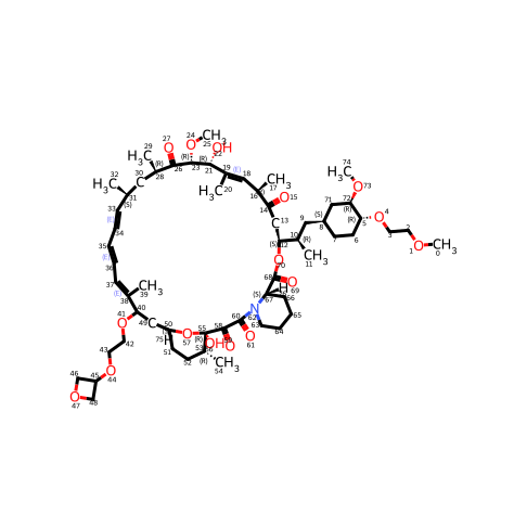 COCCO[C@@H]1CC[C@@H](C[C@@H](C)[C@@H]2CC(=O)[C@H](C)/C=C(\C)[C@@H](O)[C@@H](OC)C(=O)[C@H](C)C[C@H](C)/C=C/C=C/C=C(\C)C(OCCOC3COC3)C[C@@H]3CC[C@@H](C)[C@@](O)(O3)C(=O)C(=O)N3CCCC[C@H]3C(=O)O2)C[C@H]1OC